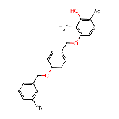 CC(=O)c1ccc(OCc2ccc(OCc3cccc(C#N)c3)cc2)c(C)c1O